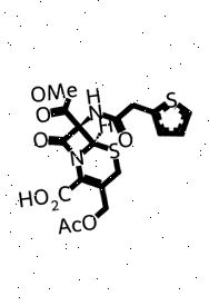 COC(=O)[C@@]1(NC(=O)Cc2cccs2)C(=O)N2C(C(=O)O)=C(COC(C)=O)CS[C@@H]21